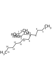 CCCCCCCCC.CCCCCCCCCC.CCCCCCCCCCCC